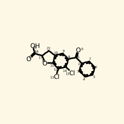 O=C(c1ccccc1)c1cc2c(c(Cl)c1Cl)OC(C(=O)O)C2